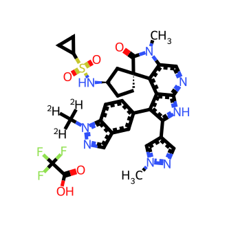 O=C(O)C(F)(F)F.[2H]C([2H])([2H])n1ncc2cc(-c3c(-c4cnn(C)c4)[nH]c4ncc5c(c34)[C@]3(CC[C@@H](NS(=O)(=O)C4CC4)C3)C(=O)N5C)ccc21